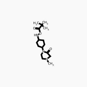 CN1CCN(C2CCC(NOC(=O)C(C)(C)C)CC2)C(=O)C1